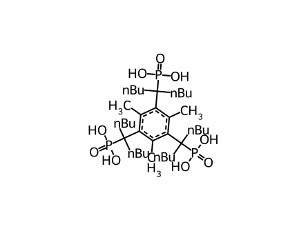 CCCCC(CCCC)(c1c(C)c(C(CCCC)(CCCC)P(=O)(O)O)c(C)c(C(CCCC)(CCCC)P(=O)(O)O)c1C)P(=O)(O)O